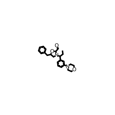 CCC(c1cccc(N2CCOCC2)c1)N1CC(Cc2ccccc2)OC1C=O